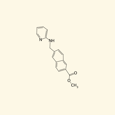 COC(=O)c1ccc2cc(CNc3ccccn3)ccc2c1